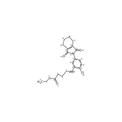 CCOC(=O)CCCNc1cc(N2C(=O)C3=C(CCCC3)C2=O)ccc1Cl